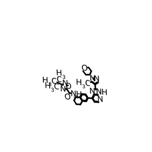 Cc1c(-c2nc3c(-c4ccc5c(c4)CCC[C@H]5NC(=O)c4nc(C(C)(C)C)no4)ccnc3[nH]2)cnn1C1CCOCC1